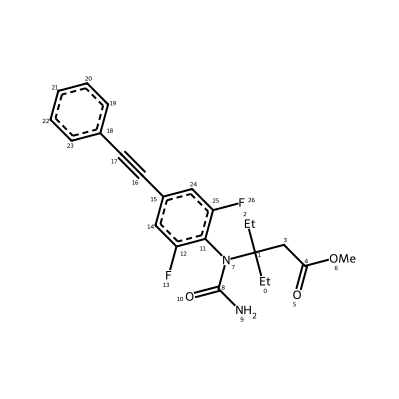 CCC(CC)(CC(=O)OC)N(C(N)=O)c1c(F)cc(C#Cc2ccccc2)cc1F